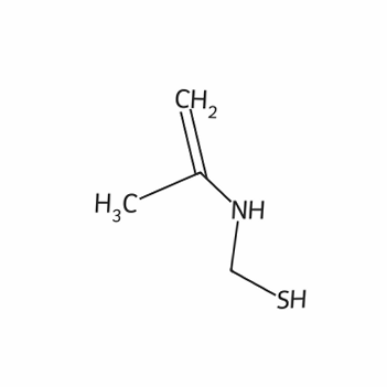 C=C(C)NCS